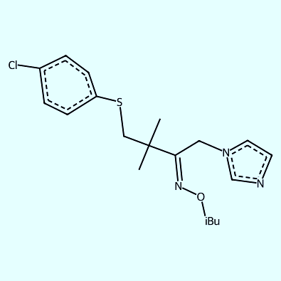 CCC(C)ON=C(Cn1ccnc1)C(C)(C)CSc1ccc(Cl)cc1